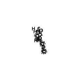 CC(=O)Nc1cccc2c(S(=O)(=O)NCc3ccc(OCc4ccccc4)cc3)cccc12